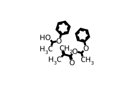 C=C(C)C(=O)OC(C)Oc1ccccc1.CC(O)Oc1ccccc1